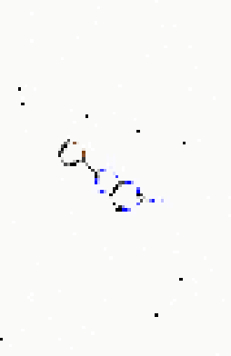 Nc1ncc2nc(-c3cccs3)[nH]c2n1